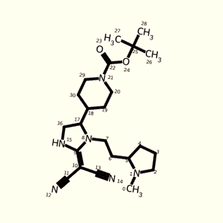 CN1CCCC1CCN1C(=C(C#N)C#N)NCC1C1CCN(C(=O)OC(C)(C)C)CC1